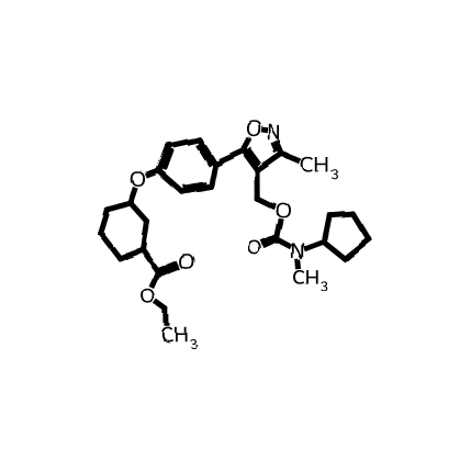 CCOC(=O)C1CCCC(Oc2ccc(-c3onc(C)c3COC(=O)N(C)C3CCCC3)cc2)C1